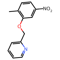 Cc1ccc([N+](=O)[O-])cc1OCc1ccccn1